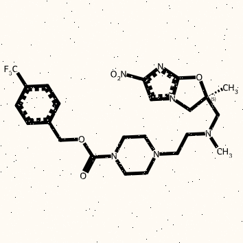 CN(CCN1CCN(C(=O)OCc2ccc(C(F)(F)F)cc2)CC1)C[C@@]1(C)Cn2cc([N+](=O)[O-])nc2O1